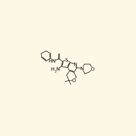 C=C(NC1=CCCC=C1)c1sc2nc(N3CCOCC3)c3c(c2c1N)CC(C)(C)OC3